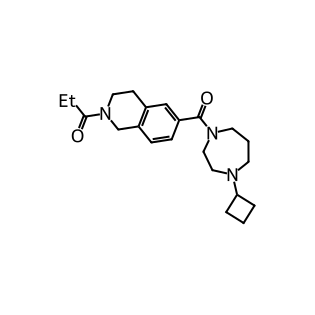 CCC(=O)N1CCc2cc(C(=O)N3CCCN(C4CCC4)CC3)ccc2C1